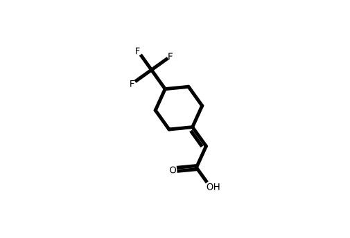 O=C(O)C=C1CCC(C(F)(F)F)CC1